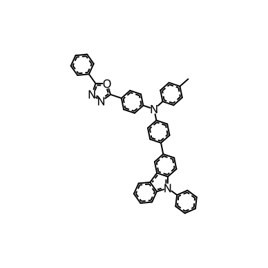 Cc1ccc(N(c2ccc(-c3ccc4c(c3)c3ccccc3n4-c3ccccc3)cc2)c2ccc(-c3nnc(-c4ccccc4)o3)cc2)cc1